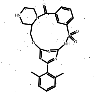 Cc1cccc(C)c1-c1cc2nc(n1)NS(=O)(=O)c1cccc(c1)C(=O)N1CCNCC1CO2